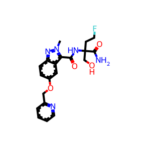 Cn1nc2ccc(OCc3ccccn3)cc2c1C(=O)NC(CO)(CCF)C(N)=O